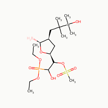 B[C@@H]1O[C@H](C(OS(C)(=O)=O)C(O)P(=O)(OCC)OCC)C[C@@H]1CC(C)(C)[Si](C)(C)O